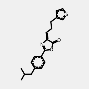 CC(C)Cc1ccc(C2=N/C(=C/CCc3ccsc3)C(=O)O2)cc1